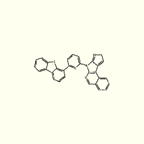 C1=c2c(n(-c3cccc(-c4cccc5c4sc4ccccc45)n3)c3ncc4ccccc4c23)=NC1